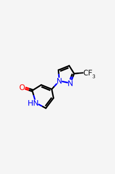 O=c1cc(-n2ccc(C(F)(F)F)n2)cc[nH]1